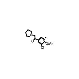 COC1C(Cl)=CC(C(=O)CN2CCCCC2)=CN1C